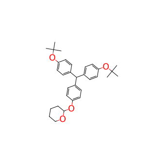 CC(C)(C)Oc1ccc(C(c2ccc(OC3CCCCO3)cc2)c2ccc(OC(C)(C)C)cc2)cc1